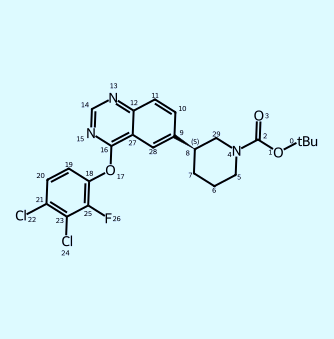 CC(C)(C)OC(=O)N1CCC[C@@H](c2ccc3ncnc(Oc4ccc(Cl)c(Cl)c4F)c3c2)C1